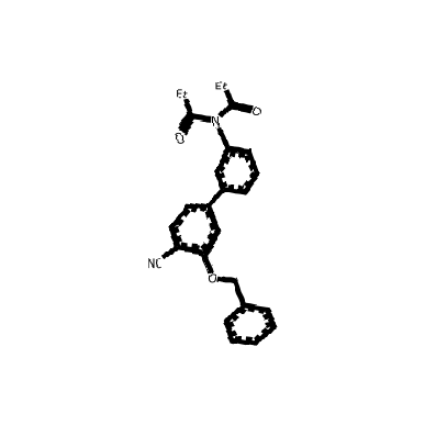 CCC(=O)N(C(=O)CC)c1cccc(-c2ccc(C#N)c(OCc3ccccc3)c2)c1